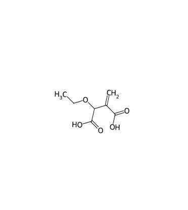 C=C(C(=O)O)C(OCC)C(=O)O